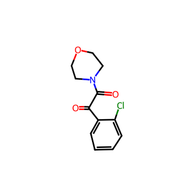 O=C(C(=O)N1CCOCC1)c1ccccc1Cl